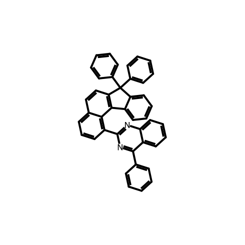 c1ccc(-c2nc(-c3cccc4ccc5c(c34)-c3ccccc3C5(c3ccccc3)c3ccccc3)nc3ccccc23)cc1